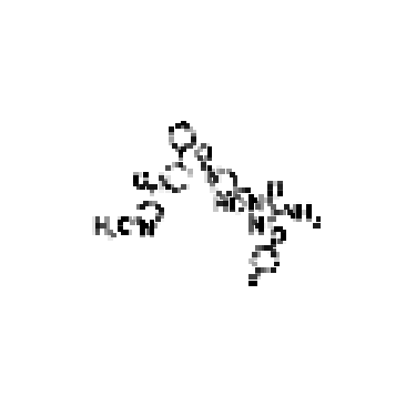 Cc1cc(C(=O)N2CC[C@@H](C(=O)N3CCC(O)(Cn4cnc(Oc5ccc(F)cc5)c(N)c4=O)CC3)[C@H](c3ccccc3)C2)ccn1